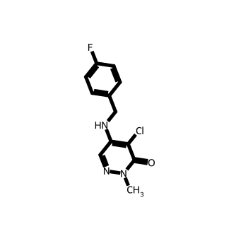 Cn1ncc(NCc2ccc(F)cc2)c(Cl)c1=O